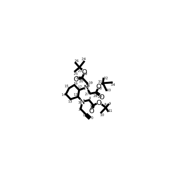 C#CCN(CC(=O)OC(C)(C)C)C1CCCCC1N(CC(=O)OC(C)(C)C)CC(=O)OC(C)(C)C